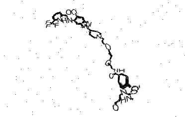 CNC(=O)N(CCC=O)c1cc(C(=O)NCCOCCOCCN2CCC(n3cc4cc(NC(=O)c5cccc(C(F)(F)F)n5)c(OC)cc4n3)CC2)ccc1OC